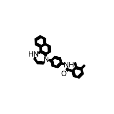 Cc1cccc(C(=O)Nc2ccc(N3C=CCNc4c3ccc3ccccc43)cc2)c1C